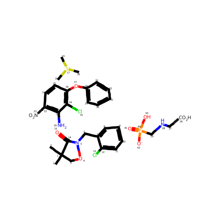 CC1(C)CON(Cc2ccccc2Cl)C1=O.C[S+](C)C.Nc1c([N+](=O)[O-])ccc(Oc2ccccc2)c1Cl.O=C(O)CNCP(=O)([O-])O